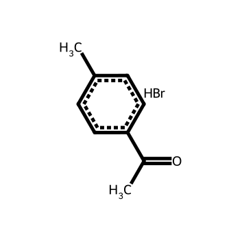 Br.CC(=O)c1ccc(C)cc1